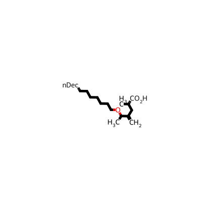 C=C(CC(C)C(=O)O)C(C)OCCCCCCCCCCCCCCCCC